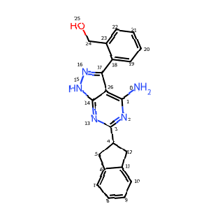 Nc1nc(C2Cc3ccccc3C2)nc2[nH]nc(-c3ccccc3CO)c12